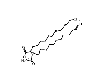 C=CCCCCCCCCCCOC(C)=O.CC/C=C/C=C/CCCCCCOC(C)=O